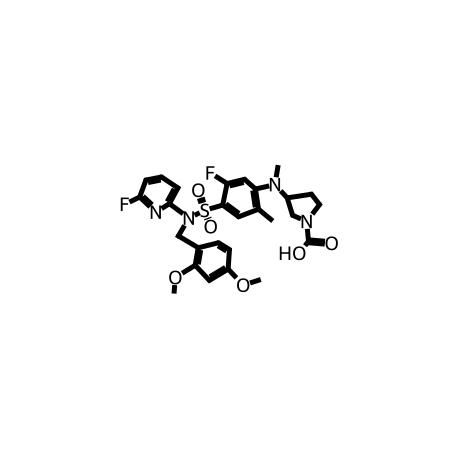 COc1ccc(CN(c2cccc(F)n2)S(=O)(=O)c2cc(C)c(N(C)C3CCN(C(=O)O)C3)cc2F)c(OC)c1